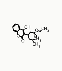 CCOC(=O)CC(CC(C)C)c1c(O)c2ccccc2oc1=O